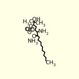 CCCCCCCCCCCC(=O)C(N)CCC(O[Cl+3]([O-])([O-])[O-])C(C)(C)O.N